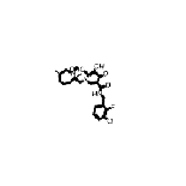 C[C@@H]1CCC[C@@](C)(Cn2cc(C(=O)NCc3cccc(Cl)c3F)c(=O)c(O)c2C=O)N(C)C1